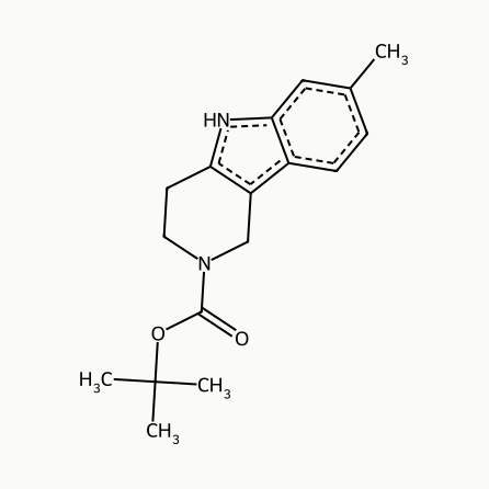 Cc1ccc2c3c([nH]c2c1)CCN(C(=O)OC(C)(C)C)C3